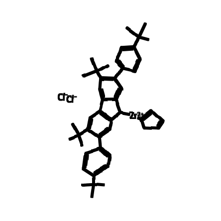 CC(C)(C)c1ccc(-c2cc3c(cc2C(C)(C)C)-c2cc(C(C)(C)C)c(-c4ccc(C(C)(C)C)cc4)cc2[CH]3[Zr+2][C]2=CC=CC2)cc1.[Cl-].[Cl-]